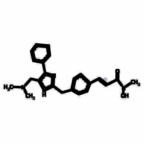 CN(C)Cc1[nH]c(Cc2ccc(/C=C/C(=O)N(C)O)cc2)nc1-c1ccccc1